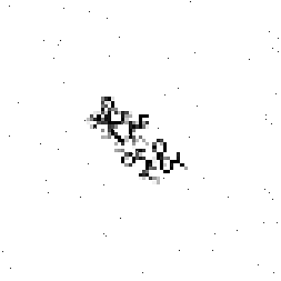 CCOC(=O)C(CC)C(=O)Oc1ccc([N+](=O)[O-])cc1F